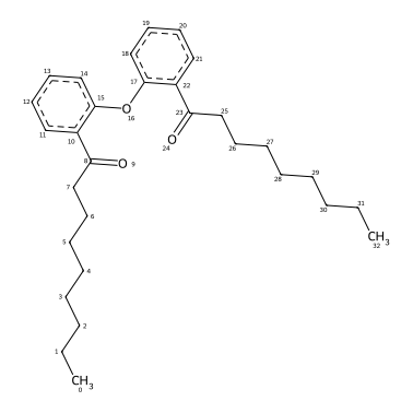 CCCCCCCCC(=O)c1ccccc1Oc1ccccc1C(=O)CCCCCCCC